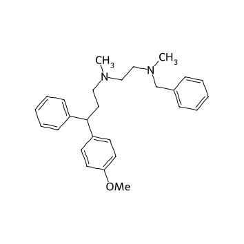 COc1ccc(C(CCN(C)CCN(C)Cc2ccccc2)c2ccccc2)cc1